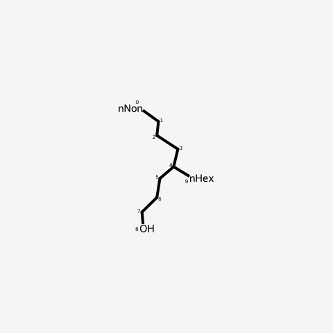 CCCCCCCCCCCCC(CCCO)CCCCCC